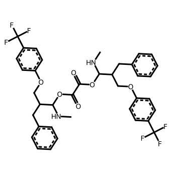 CNC(OC(=O)C(=O)OC(NC)C(COc1ccc(C(F)(F)F)cc1)Cc1ccccc1)C(COc1ccc(C(F)(F)F)cc1)Cc1ccccc1